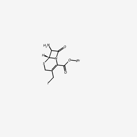 CC(C)OC(=O)C1=C(CI)CS[C@@H]2C(N)C(=O)N12